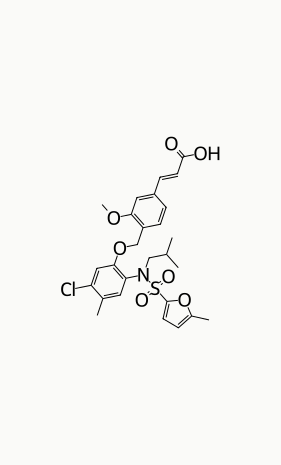 COc1cc(/C=C/C(=O)O)ccc1COc1cc(Cl)c(C)cc1N(CC(C)C)S(=O)(=O)c1ccc(C)o1